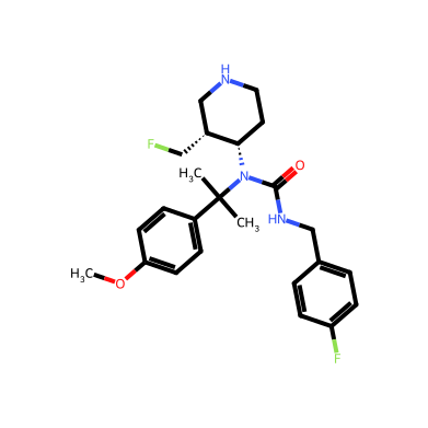 COc1ccc(C(C)(C)N(C(=O)NCc2ccc(F)cc2)[C@H]2CCNC[C@H]2CF)cc1